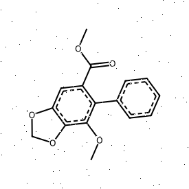 COC(=O)c1cc2c(c(OC)c1-c1ccccc1)OCO2